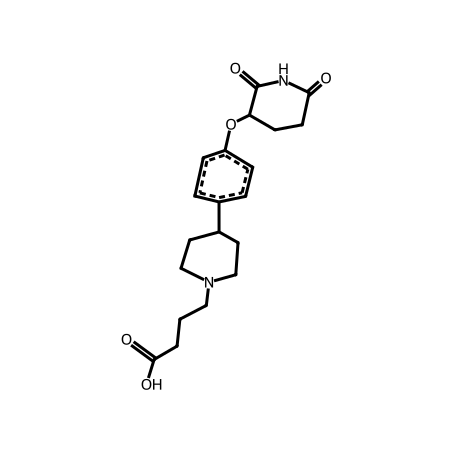 O=C(O)CCCN1CCC(c2ccc(OC3CCC(=O)NC3=O)cc2)CC1